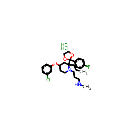 CCCC1(C2(c3ccc(F)cc3)OCCO2)CC(Oc2cccc(Cl)c2)CCN1CCCNC.Cl.Cl